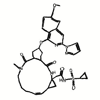 COc1ccc2c(OC3CC4C(=O)NC5(C(=O)NS(=O)(=O)C6CC6)CC5C=CCCCCN(C)C(=O)C4C3)nc(-n3cccn3)cc2c1